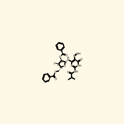 CC(C)C(=O)Nc1nc(N[C@@H]2O[C@H](COC(=O)c3ccccc3)[C@@H](F)[C@H]2OC(=O)c2ccccc2)c(N=N)c(=O)[nH]1